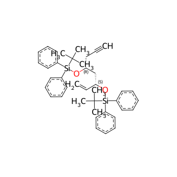 C#CC[C@H](C[C@@H](C=C)O[Si](c1ccccc1)(c1ccccc1)C(C)(C)C)O[Si](c1ccccc1)(c1ccccc1)C(C)(C)C